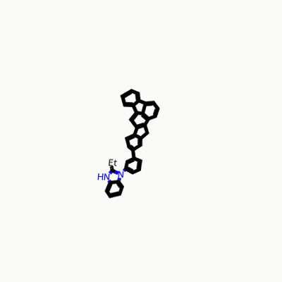 CCC1Nc2ccccc2N1c1cccc(-c2ccc3c(c2)Cc2c-3cc3c4c(cccc24)-c2ccccc2-3)c1